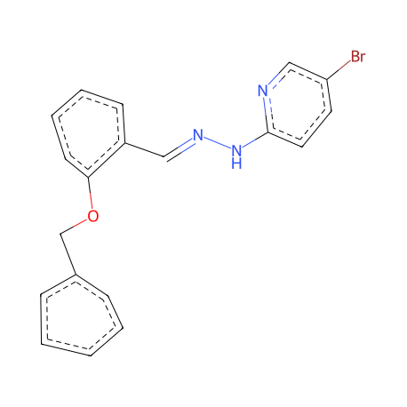 Brc1ccc(NN=Cc2ccccc2OCc2ccccc2)nc1